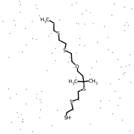 CCCSCCSCCOCCC(C)(C)SCCSCCS